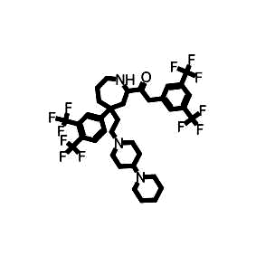 O=C(Cc1cc(C(F)(F)F)cc(C(F)(F)F)c1)C1CC(CCN2CCC(N3CCCCC3)CC2)(c2ccc(C(F)(F)F)c(C(F)(F)F)c2)CCCN1